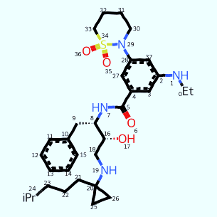 CCNc1cc(C(=O)N[C@@H](Cc2ccccc2)[C@H](O)CNC2(CCCC(C)C)CC2)cc(N2CCCCS2(=O)=O)c1